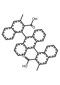 Cc1cc2ccccc2c(-c2c3ccccc3c(-c3c(C(=O)O)c(C)cc4ccccc34)c3ccccc23)c1C(=O)O